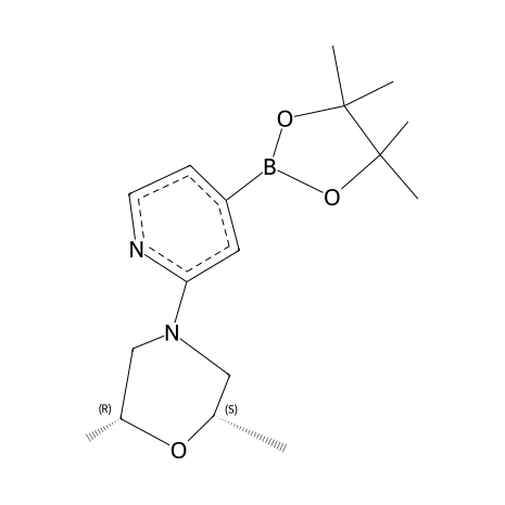 C[C@@H]1CN(c2cc(B3OC(C)(C)C(C)(C)O3)ccn2)C[C@H](C)O1